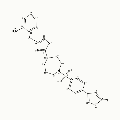 Cc1nc(-c2ccc(S(=O)(=O)N3CCCN(c4nc(Cc5ccccc5[N+](=O)[O-])ns4)CC3)cc2)cs1